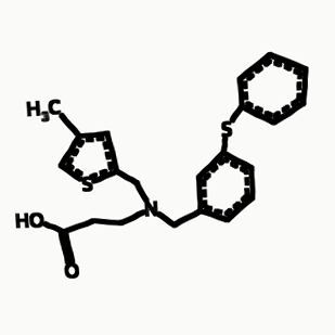 Cc1csc(CN(CCC(=O)O)Cc2cccc(Sc3ccccc3)c2)c1